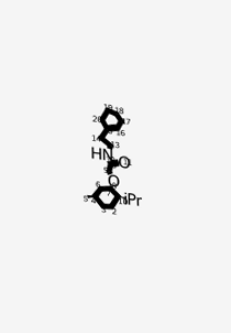 CC(C)[C@@H]1CC[C@@H](C)C[C@H]1OCC(=O)NCCC1=CCCCC1